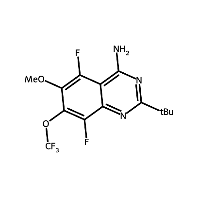 COc1c(OC(F)(F)F)c(F)c2nc(C(C)(C)C)nc(N)c2c1F